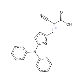 N#C/C(=C\c1ccc(N(c2ccccc2)c2ccccc2)s1)C(=O)O